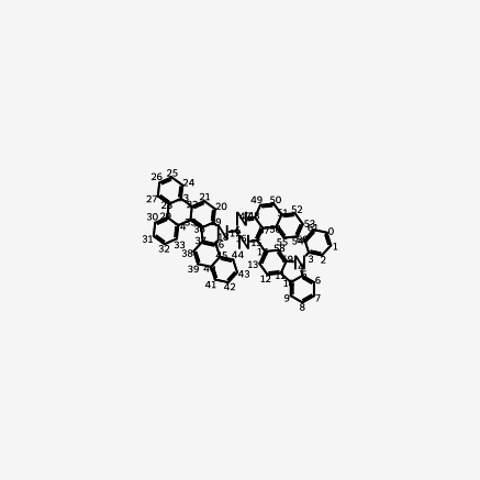 c1ccc(-n2c3ccccc3c3ccc(-c4nc(-n5c6ccc7c8ccccc8c8ccccc8c7c6c6ccc7ccccc7c65)nc5ccc6ccccc6c45)cc32)cc1